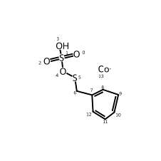 O=S(=O)(O)OSCc1ccccc1.[Co]